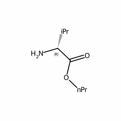 CCCOC(=O)[C@H](N)C(C)C